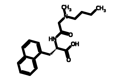 CCCCN(C)CC(=O)N[C@@H](Cc1cccc2ccccc12)C(=O)O